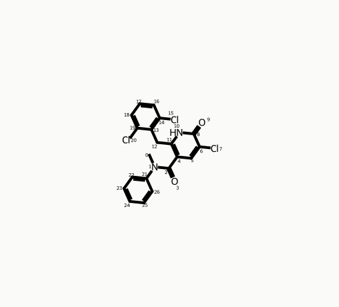 CN(C(=O)c1cc(Cl)c(=O)[nH]c1Cc1c(Cl)cccc1Cl)c1ccccc1